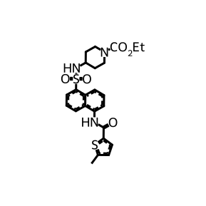 CCOC(=O)N1CCC(NS(=O)(=O)c2cccc3c(NC(=O)c4ccc(C)s4)cccc23)CC1